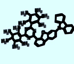 Bc1c(B)c(B)c(-c2nc(-c3c(B)c(B)c(B)c(B)c3B)nc(-c3cccc4c3oc3cc(-n5c6ccccc6c6ccccc65)ccc34)n2)c(B)c1B